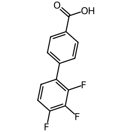 O=C(O)c1ccc(-c2ccc(F)c(F)c2F)cc1